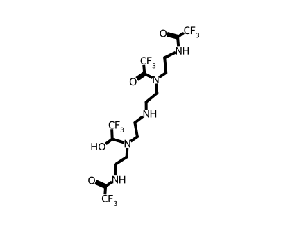 O=C(NCCN(CCNCCN(CCNC(=O)C(F)(F)F)C(O)C(F)(F)F)C(=O)C(F)(F)F)C(F)(F)F